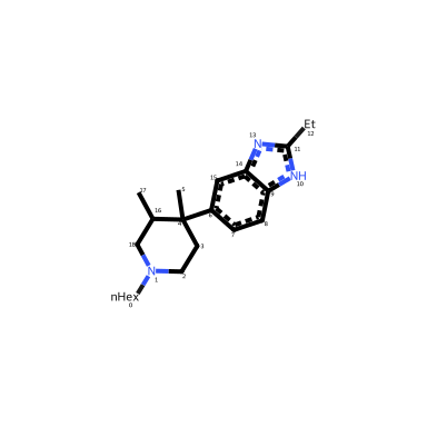 CCCCCCN1CCC(C)(c2ccc3[nH]c(CC)nc3c2)C(C)C1